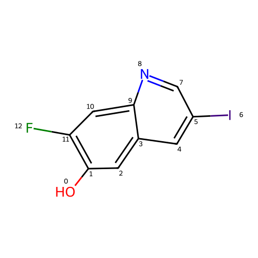 Oc1cc2cc(I)cnc2cc1F